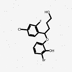 OCCCC(Oc1cccc(Br)c1O)c1ccc(Cl)cc1F